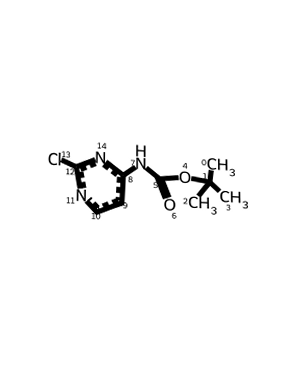 CC(C)(C)OC(=O)Nc1ccnc(Cl)n1